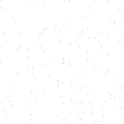 CC(C)(C)CC(C)(C)C(=O)NCCc1cncnc1